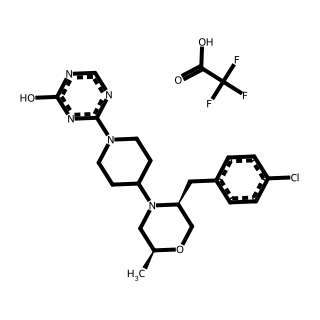 C[C@H]1CN(C2CCN(c3ncnc(O)n3)CC2)[C@@H](Cc2ccc(Cl)cc2)CO1.O=C(O)C(F)(F)F